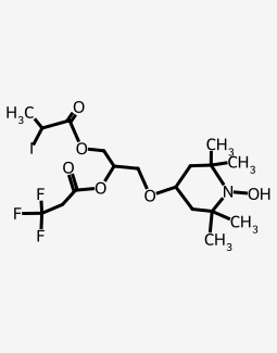 CC(I)C(=O)OCC(COC1CC(C)(C)N(O)C(C)(C)C1)OC(=O)CC(F)(F)F